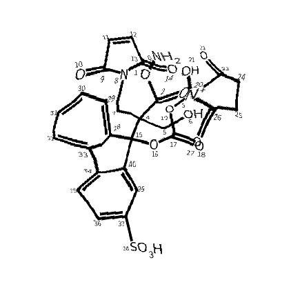 NOC(=O)C(CO)(CN1C(=O)C=CC1=O)C1(OC(=O)O[N+]2(O)C(=O)CCC2=O)c2ccccc2-c2ccc(S(=O)(=O)O)cc21